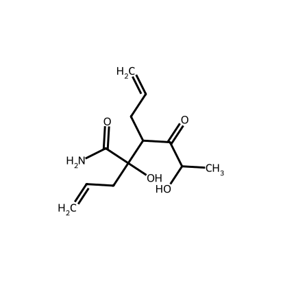 C=CCC(C(=O)C(C)O)C(O)(CC=C)C(N)=O